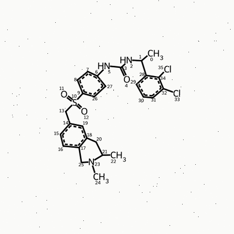 CC(NC(=O)Nc1ccc(S(=O)(=O)Cc2ccc3c(c2)CC(C)N(C)C3)cc1)c1cccc(Cl)c1Cl